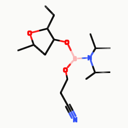 CCC1OC(C)CC1OB(OCCC#N)N(C(C)C)C(C)C